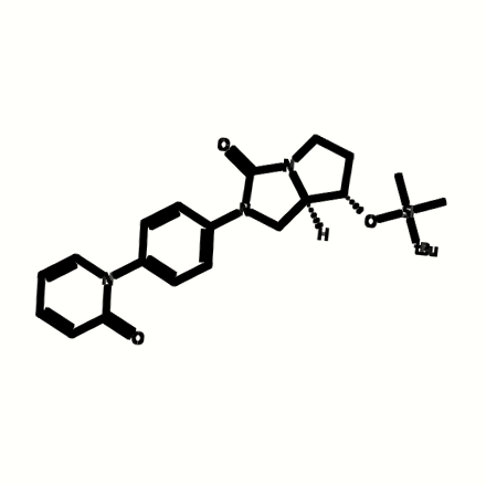 CC(C)(C)[Si](C)(C)O[C@H]1CCN2C(=O)N(c3ccc(-n4ccccc4=O)cc3)C[C@H]12